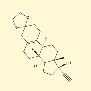 C#C[C@]1(O)CC[C@H]2[C@@H]3CCC4=C(CCC5(C4)OCCO5)[C@H]3CC[C@@]21C